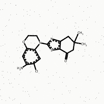 CC1(C)CC(=O)c2sc(N3CCOc4cc(N)c(Cl)cc43)nc2C1